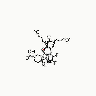 COCCCn1cc(CN(C(=O)[C@H]2CN(C(=O)O)CC[C@]2(O)c2ccc(F)c(F)c2)C2CC2)c(=O)n(CCCOC)c1=O